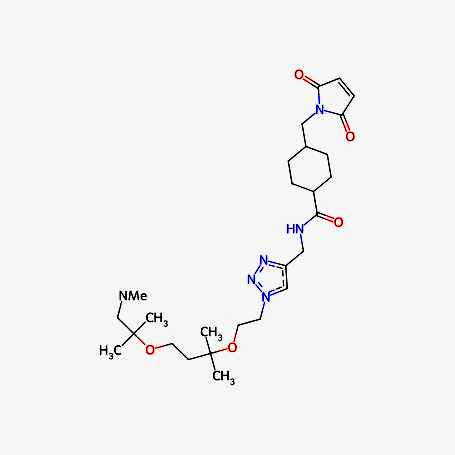 CNCC(C)(C)OCCC(C)(C)OCCn1cc(CNC(=O)C2CCC(CN3C(=O)C=CC3=O)CC2)nn1